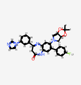 CC1(C)OC2=CN(c3cc4c(cc3-c3ccc(F)cc3)NC(=O)CC(c3cccc(-n5ccnc5)c3)=N4)CC2O1